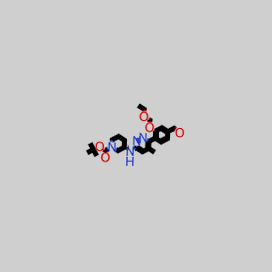 CCOCOc1cc(C=O)ccc1-c1nnc(N[C@@H]2CCCN(C(=O)OC(C)(C)C)C2)cc1C